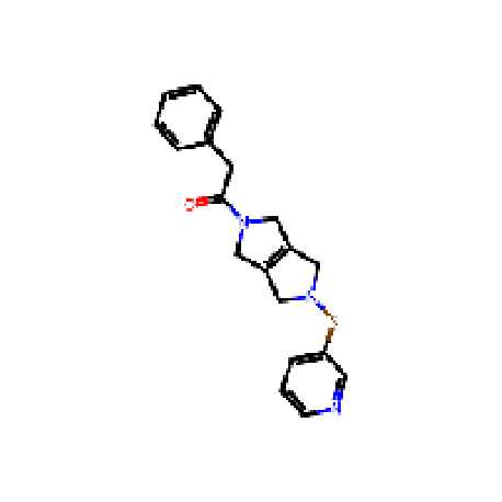 O=C(Cc1ccccc1)N1CC2=C(CN(Sc3cccnc3)C2)C1